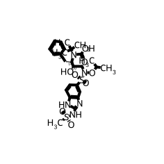 CC(C)ON(C[C@H](O)[C@H](Cc1ccccc1)N(C(=O)O)C(C)(C)C)S(=O)(=O)c1ccc2[nH]c(NS(C)(=O)=O)nc2c1